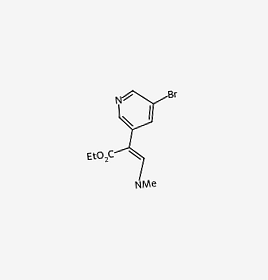 CCOC(=O)C(=CNC)c1cncc(Br)c1